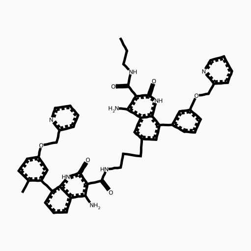 CCCNC(=O)c1c(N)c2cc(CCCNC(=O)c3c(N)c4cccc(-c5cc(OCc6ccccn6)ccc5C)c4[nH]c3=O)cc(-c3cccc(OCc4ccccn4)c3)c2[nH]c1=O